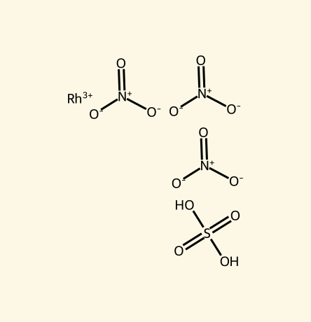 O=S(=O)(O)O.O=[N+]([O-])[O-].O=[N+]([O-])[O-].O=[N+]([O-])[O-].[Rh+3]